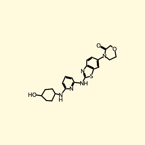 O=C1COCCN1c1ccc2nc(Nc3cccc(NC4CCC(O)CC4)n3)sc2c1